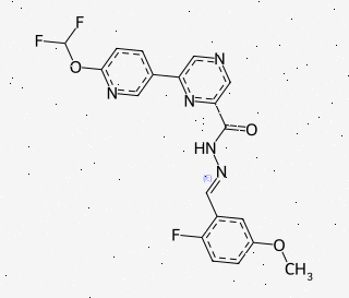 COc1ccc(F)c(/C=N/NC(=O)c2cncc(-c3ccc(OC(F)F)nc3)n2)c1